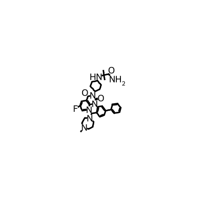 CN1CCCN(Cc2ccc(-c3ccccc3)cc2-n2c(=O)n([C@H]3CC[C@@H](NC(C)(C)C(N)=O)CC3)c(=O)c3cc(F)cnc32)CC1